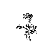 CCCC(C)Cc1c(-c2ccc(C)cc2)c(C(N)=O)c(C)n1CCCOP(=O)(O)O